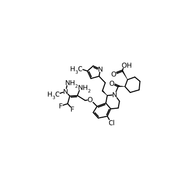 CC1=CC(CC[C@@H]2c3c(OC/C(N)=C(\C(F)F)N(C)N)ccc(Cl)c3CCN2C(=O)[C@@H]2CCCC[C@@H]2C(=O)O)N=C1